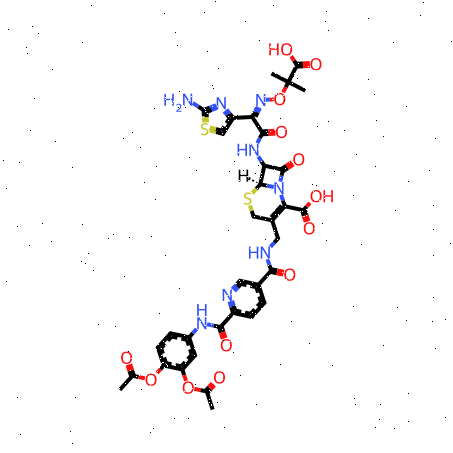 CC(=O)Oc1ccc(NC(=O)c2ccc(C(=O)NCC3=C(C(=O)O)N4C(=O)C(NC(=O)/C(=N\OC(C)(C)C(=O)O)c5csc(N)n5)[C@@H]4SC3)cn2)cc1OC(C)=O